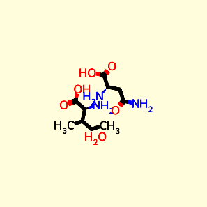 CCC(C)[C@H](N)C(=O)O.NC(=O)C[C@H](N)C(=O)O.O